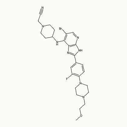 COCCN1CCN(c2ccc(-c3nc4c(NC5CCN(CC#N)CC5)c(Br)cnc4[nH]3)cc2F)CC1